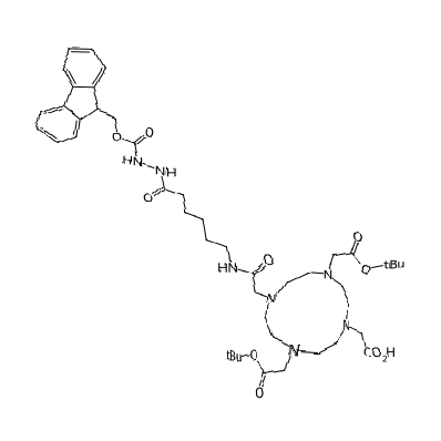 CC(C)(C)OC(=O)CN1CCN(CC(=O)O)CCN(CC(=O)OC(C)(C)C)CCN(CC(=O)NCCCCCC(=O)NNC(=O)OCC2c3ccccc3-c3ccccc32)CC1